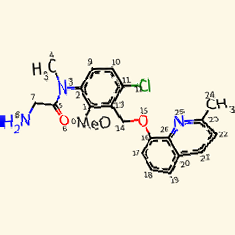 COc1c(N(C)C(=O)CN)ccc(Cl)c1COc1cccc2ccc(C)nc12